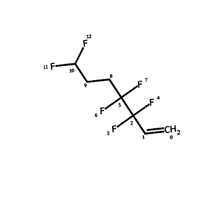 C=CC(F)(F)C(F)(F)CCC(F)F